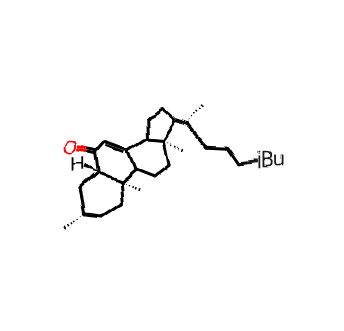 CCC(C)CCC[C@@H](C)C1CCC2C3=CC(=O)[C@H]4C[C@@H](C)CC[C@]4(C)C3CC[C@@]21C